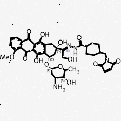 COc1cccc2c1C(=O)c1c(O)c3c(c(O)c1C2=O)C[C@@](O)(/C(CO)=N/NC(=O)C1CCC(CN2C(=O)C=CC2=O)CC1)C[C@@H]3O[C@H]1CC(N)[C@H](O)C(C)O1